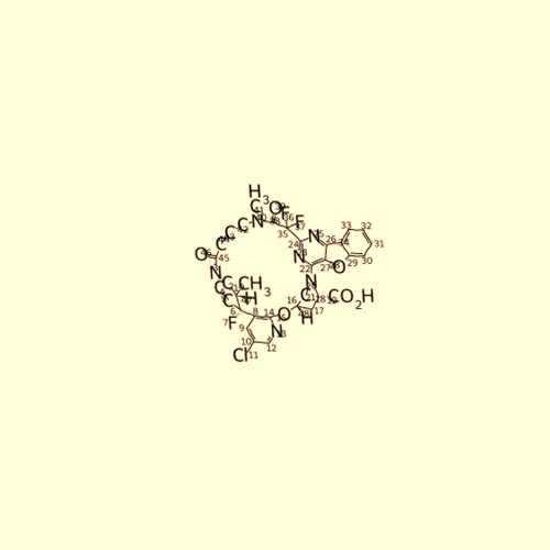 C[C@H]1CN2CC[C@]1(F)c1cc(Cl)cnc1O[C@H]1C[C@@H](C(=O)O)N(C1)c1nc(nc3c1oc1ccccc13)C(F)(F)C(=O)N(C)CCCC2=O